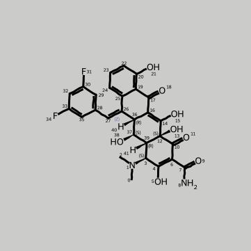 CN(C)[C@@H]1C(O)=C(C(N)=O)C(=O)[C@@]2(O)C(O)=C3C(=O)c4c(O)cccc4/C(=C\c4cc(F)cc(F)c4)[C@H]3[C@H](O)[C@@H]12